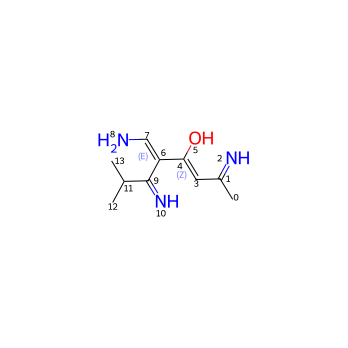 CC(=N)/C=C(O)/C(=C/N)C(=N)C(C)C